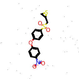 O=[N+]([O-])c1ccc(Oc2ccc(S(=O)(=O)CC3CS3)cc2)cc1